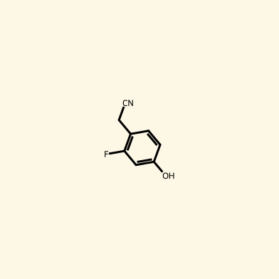 N#CCc1ccc(O)cc1F